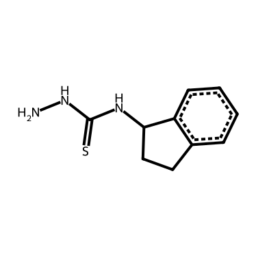 NNC(=S)NC1CCc2ccccc21